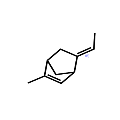 C/C=C1\CC2CC1C=C2C